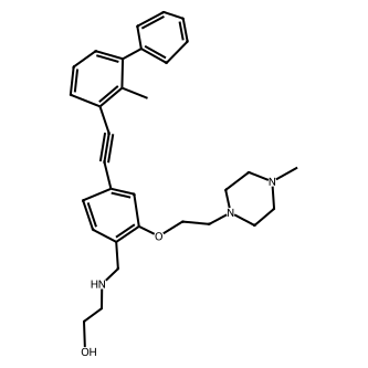 Cc1c(C#Cc2ccc(CNCCO)c(OCCN3CCN(C)CC3)c2)cccc1-c1ccccc1